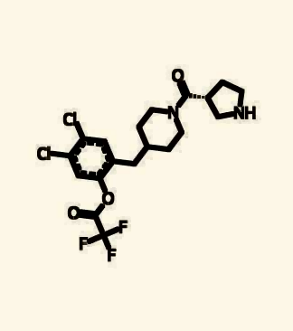 O=C([C@@H]1CCNC1)N1CCC(Cc2cc(Cl)c(Cl)cc2OC(=O)C(F)(F)F)CC1